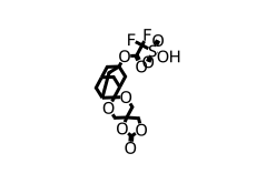 O=C1OCC2(COC3(OC2)C2CC4CC3CC(OC(=O)C(F)(F)S(=O)(=O)O)(C4)C2)O1